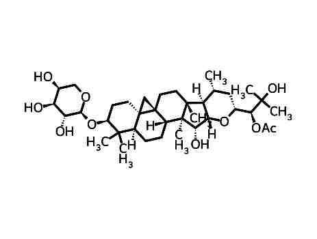 CC(=O)O[C@@H]([C@H]1C[C@@H](C)[C@H]2[C@H](O1)[C@H](O)[C@@]1(C)[C@@H]3CC[C@H]4C(C)(C)[C@@H](O[C@@H]5OC[C@H](O)[C@H](O)[C@H]5O)CC[C@@]45C[C@@]35CC[C@]21C)C(C)(C)O